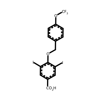 O=C(O)c1cc(I)c(OCc2ccc(OC(F)(F)F)cc2)c(I)c1